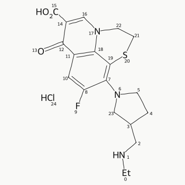 CCNCC1CCN(c2c(F)cc3c(=O)c(C(=O)O)cn4c3c2SCC4)C1.Cl